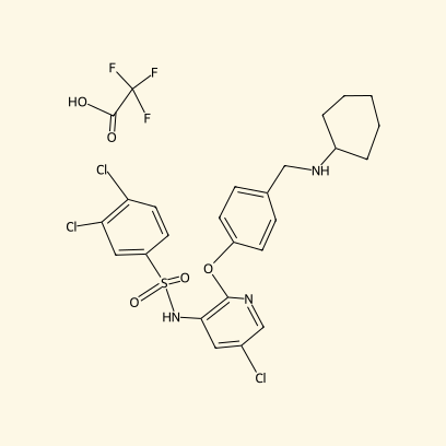 O=C(O)C(F)(F)F.O=S(=O)(Nc1cc(Cl)cnc1Oc1ccc(CNC2CCCCC2)cc1)c1ccc(Cl)c(Cl)c1